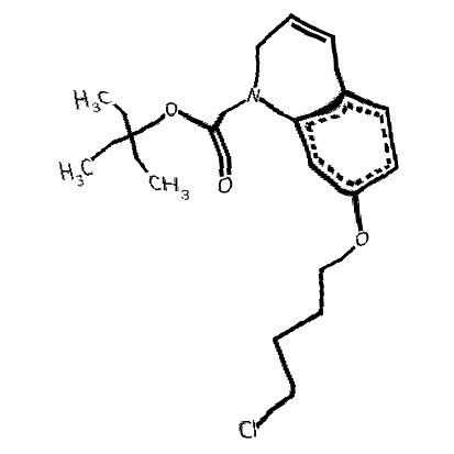 CC(C)(C)OC(=O)N1CC=Cc2ccc(OCCCCCl)cc21